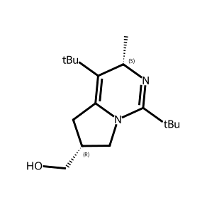 C[C@@H]1N=C(C(C)(C)C)N2C[C@H](CO)CC2=C1C(C)(C)C